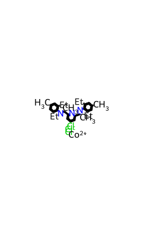 CCc1cc(C)cc(CC)c1N=C(C)c1cc(Cl)cc(C(C)=Nc2c(CC)cc(C)cc2CC)n1.[Cl-].[Cl-].[Co+2]